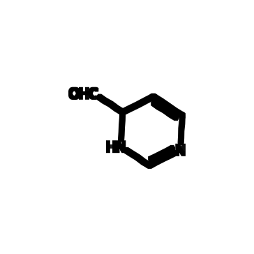 O=CC1C=CN=CN1